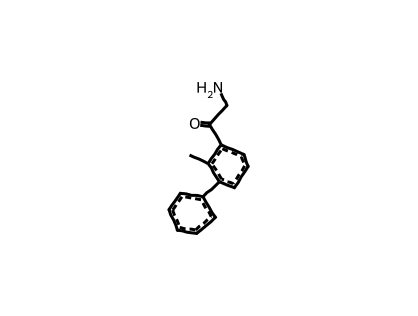 Cc1c(C(=O)CN)cccc1-c1ccccc1